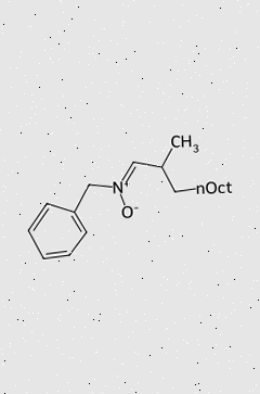 CCCCCCCCCC(C)C=[N+]([O-])Cc1ccccc1